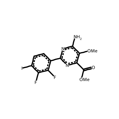 COC(=O)c1nc(-c2ccc(I)c(F)c2F)nc(N)c1OC